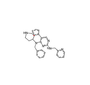 c1ccc(CN(c2nc(NCc3ccccn3)ncc2-c2ccsc2)C2CCNCC2)cc1